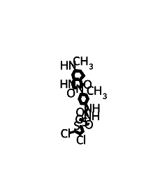 CNc1ccc2c(=O)n(-c3ccc(NC(=O)NS(=O)(=O)c4cc(Cl)c(Cl)s4)cc3C)c(=O)[nH]c2c1